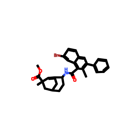 COC(=O)C1(C)C=C2CC(CCC2NC(=O)c2c(C)c(-c3ccccc3)cc3ccc(Br)cc23)C1